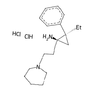 CC[C@]1(c2ccccc2)C[C@]1(N)CCN1CCCCC1.Cl.Cl